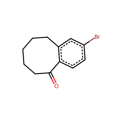 O=C1CCCCCc2cc(Br)ccc21